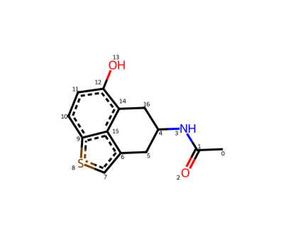 CC(=O)NC1Cc2csc3ccc(O)c(c23)C1